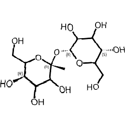 C[C@]1(O[C@H]2OC(CO)[C@@H](O)C(O)C2O)OC(CO)[C@H](O)C(O)C1O